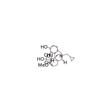 COC12CCC3(C[C@@H]1C(C)(C)O)[C@H]1Cc4ccc(O)c5c4[C@@]3(CCN1CC1CC1)[C@H]2O5